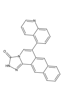 O=c1[nH]nc2c3cc4ccccc4cc3c(-c3cccc4ncccc34)cn12